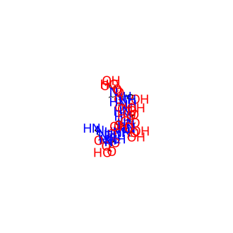 CC(C)C[C@H](NC(=O)[C@H](Cc1ccc(O)cc1)NC(=O)[C@H](CO)NC(=O)[C@H](CO)NC(=O)[C@@H](NC(=O)[C@H](CC(=O)O)NC(=O)[C@H](CO)NC(=O)[C@@H](NC(=O)[C@H](Cc1ccccc1)NC(=O)[C@@H](NC(=O)CNC(=O)[C@H](CCC(=O)O)NC(=O)[C@H](C)NC(=O)[C@@H](N)Cc1c[nH]cn1)[C@@H](C)O)[C@@H](C)O)C(C)C)C(=O)N[C@@H](CCC(=O)O)C(=O)O